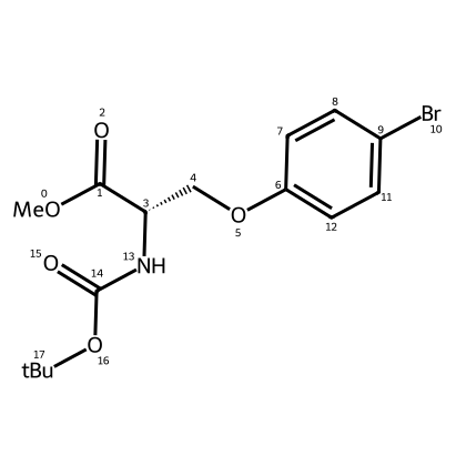 COC(=O)[C@H](COc1ccc(Br)cc1)NC(=O)OC(C)(C)C